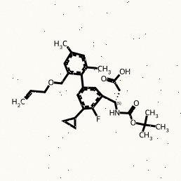 C=CCOCc1cc(C)cc(C)c1-c1cc(C2CC2)c(F)c([C@H](CC(=O)O)NC(=O)OC(C)(C)C)c1